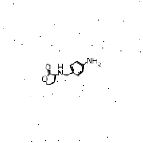 Nc1ccc(CNC2CCOC2=O)cc1